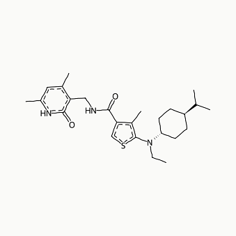 CCN(c1scc(C(=O)NCc2c(C)cc(C)[nH]c2=O)c1C)[C@H]1CC[C@H](C(C)C)CC1